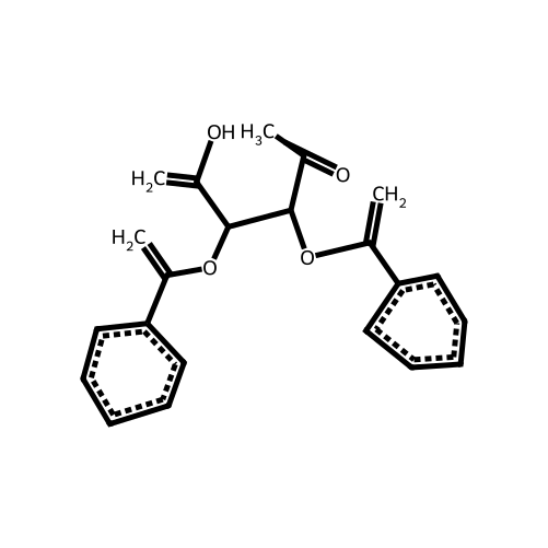 C=C(OC(C(=C)O)C(OC(=C)c1ccccc1)C(C)=O)c1ccccc1